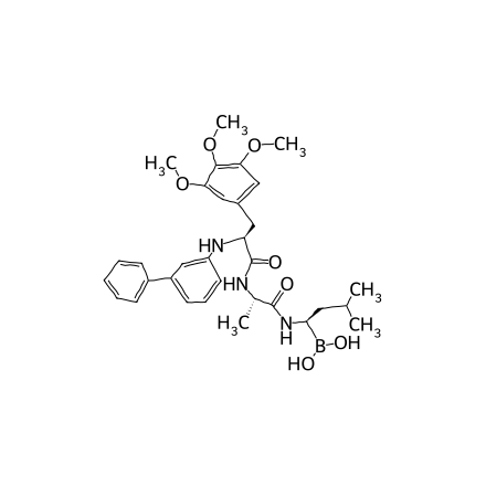 COc1cc(C[C@H](Nc2cccc(-c3ccccc3)c2)C(=O)N[C@@H](C)C(=O)N[C@@H](CC(C)C)B(O)O)cc(OC)c1OC